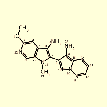 COc1cc2c(N)c(-c3nn4ncccc4c3N)n(C)c2cn1